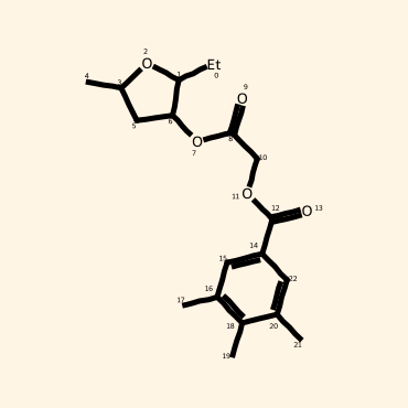 CCC1OC(C)CC1OC(=O)COC(=O)c1cc(C)c(C)c(C)c1